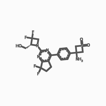 NC1(c2ccc(-c3nc(N4CC(F)(F)[C@H]4CO)nc4c3CCC4(F)F)cc2)CS(=O)(=O)C1